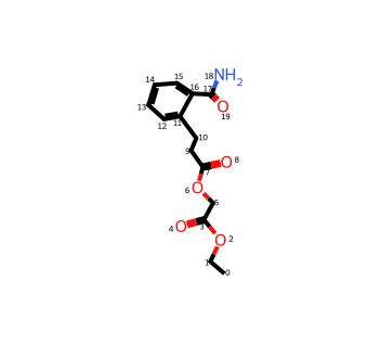 CCOC(=O)COC(=O)CCc1ccccc1C(N)=O